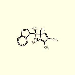 CC1=CC(C)([Si](C)(C)C2C=Cc3ccccc32)C(C)=C1C